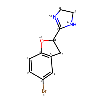 Brc1ccc2c(c1)CC(C1=NCCN1)O2